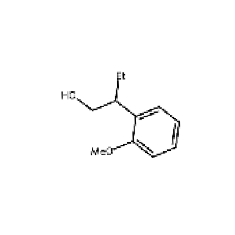 CCC(CO)c1ccccc1OC